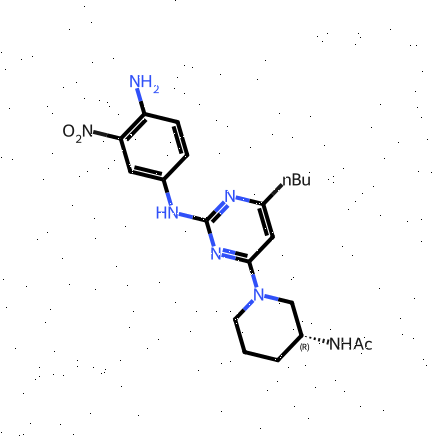 CCCCc1cc(N2CCC[C@@H](NC(C)=O)C2)nc(Nc2ccc(N)c([N+](=O)[O-])c2)n1